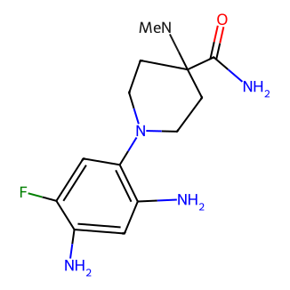 CNC1(C(N)=O)CCN(c2cc(F)c(N)cc2N)CC1